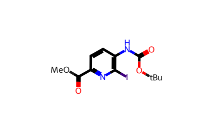 COC(=O)c1ccc(NC(=O)OC(C)(C)C)c(I)n1